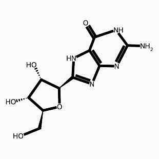 Nc1nc2nc([C@H]3O[C@@H](CO)[C@H](O)[C@@H]3O)[nH]c2c(=O)[nH]1